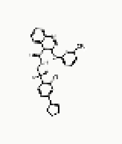 O=C(NCC(F)(F)c1ccc(C2=CCCC2)cc1Cl)c1c(Oc2cccc(C(F)(F)F)c2)nnc2ccccc12